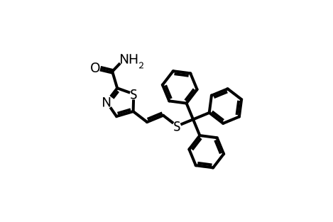 NC(=O)c1ncc(C=CSC(c2ccccc2)(c2ccccc2)c2ccccc2)s1